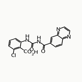 O=C(NC(=O)c1ccc2nccnc2c1)Nc1cccc(Cl)c1C(=O)O